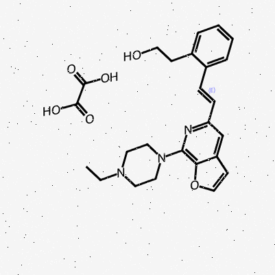 CCN1CCN(c2nc(/C=C/c3ccccc3CCO)cc3ccoc23)CC1.O=C(O)C(=O)O